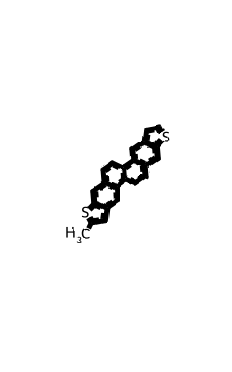 Cc1cc2cc3c(ccc4c5cc6ccsc6cc5ccc34)cc2s1